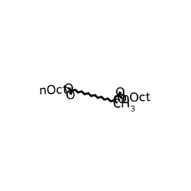 CCCCCCCCOC(=O)CCCCCCCCCCCCC(C)CC(=O)OCCCCCCCC